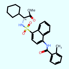 COC(=O)[C@H](NS(=O)(=O)c1ccc(NC(=O)c2ccccc2C)c2ccccc12)C1CCCCC1